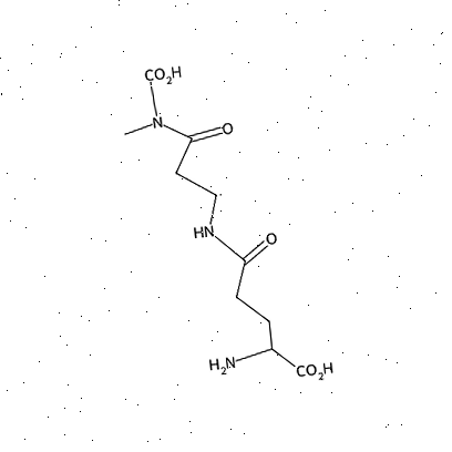 CN(C(=O)O)C(=O)C[CH]NC(=O)CCC(N)C(=O)O